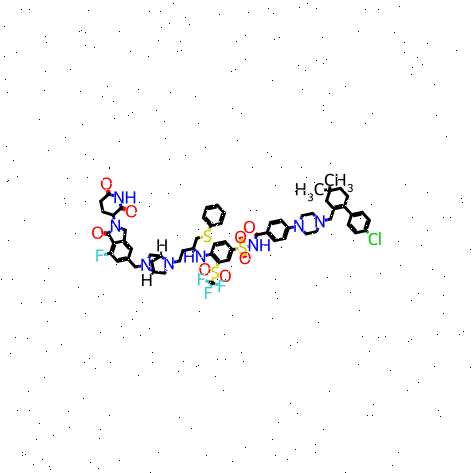 CC1(C)CCC(c2ccc(Cl)cc2)=C(CN2CCN(c3ccc(C(=O)NS(=O)(=O)c4ccc(NC(CCN5C[C@H]6C[C@@H]5CN6Cc5cc(F)c6c(c5)CN(C5CCC(=O)NC5=O)C6=O)CSc5ccccc5)c(S(=O)(=O)C(F)(F)F)c4)cc3)CC2)C1